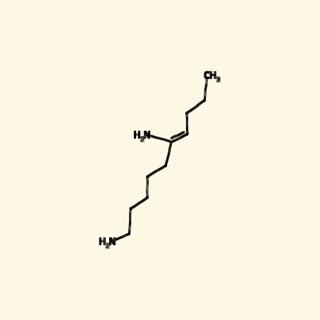 CCC/C=C(\N)CCCCCN